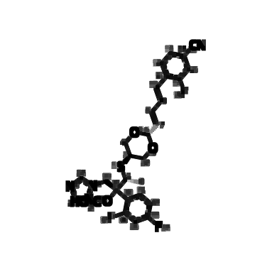 C[C@@H](S[C@H]1CO[C@H](/C=C/C=C/c2ccc(C#N)cc2F)OC1)[C@@](Cn1cncn1)(OC(=O)O)c1ccc(F)cc1F